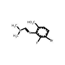 CN(C)/C=N/c1c(C(=O)O)ccc(Br)c1F